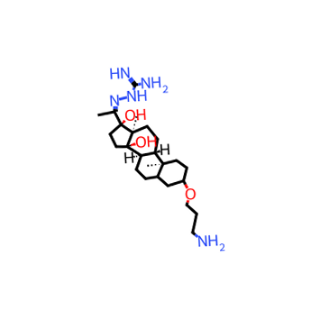 C/C(=N/NC(=N)N)[C@@]1(O)CC[C@@]2(O)[C@@H]3CCC4CC(OCCCN)CC[C@]4(C)[C@H]3CC[C@@]21C